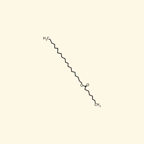 CCCCCCCCCCCCCCCCCCCCOC(=O)CCCCCCC